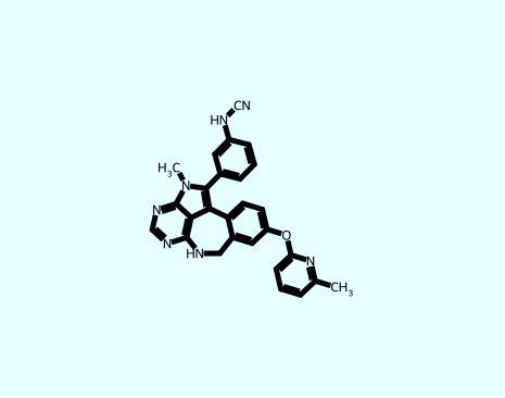 Cc1cccc(Oc2ccc3c(c2)CNc2ncnc4c2c-3c(-c2cccc(NC#N)c2)n4C)n1